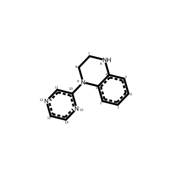 c1ccc2c(c1)NCCN2c1cnccn1